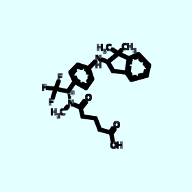 CN(C(=O)CCCC(=O)O)[C@@H](c1ccc(NC2Cc3ccccc3C2(C)C)cc1)C(F)(F)F